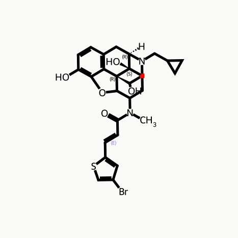 CN(C(=O)/C=C/c1cc(Br)cs1)C1CC[C@@]2(O)[C@H]3Cc4ccc(O)c5c4[C@@]2(C(O)CN3CC2CC2)C1O5